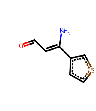 N/C(=C\[C]=O)c1ccsc1